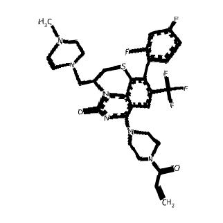 C=CC(=O)N1CCN(c2nc(=O)n3c4c(c(-c5ccc(F)cc5F)c(C(F)(F)F)cc24)SCC3CN2CCN(C)CC2)CC1